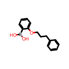 OB(O)c1ccccc1OCCCc1ccccc1